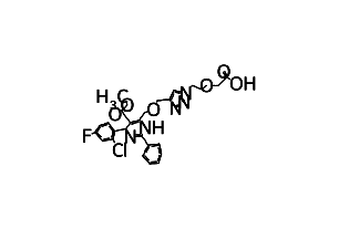 COC(=O)C1=C(COCc2cn(CCOCC(=O)O)nn2)NC(c2ccccc2)=NC1c1ccc(F)cc1Cl